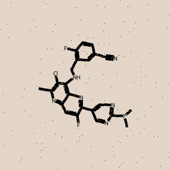 Cc1nc2cc(F)c(-c3cnc(P(C)C)nc3)nc2c(NCc2cc(C#N)ccc2F)c1Cl